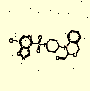 O=CC1OCc2ccccc2N1C1CCN(S(=O)(=O)c2ncc(Cl)c3oncc23)CC1